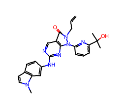 C=CCn1c(=O)c2cnc(Nc3ccc4ccn(C)c4c3)nc2n1-c1cccc(C(C)(C)O)n1